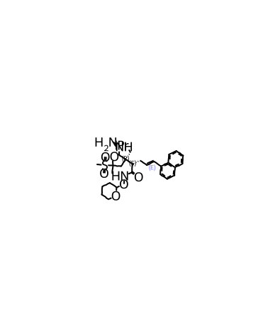 CC(C)C[C@](CC(C)(C)S(C)(=O)=O)(C(=O)NN)[C@H](C/C=C/c1cccc2ccccc12)C(=O)NOC1CCCCO1